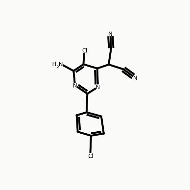 N#CC(C#N)c1nc(-c2ccc(Cl)cc2)nc(N)c1Cl